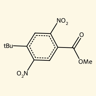 COC(=O)c1cc([N+](=O)[O-])c(C(C)(C)C)cc1[N+](=O)[O-]